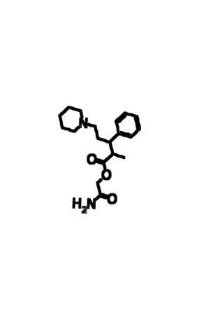 CC(C(=O)OCC(N)=O)C(CCN1CCCCC1)c1ccccc1